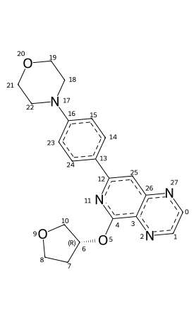 c1cnc2c(O[C@@H]3CCOC3)nc(-c3ccc(N4CCOCC4)cc3)cc2n1